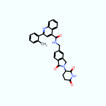 Cc1ccccc1-c1cc(C(=O)NCc2ccc3c(c2)CN(C2CCC(=O)NC2=O)C3=O)c2ccccc2n1